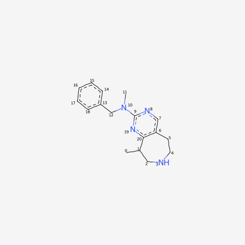 CC1CNCCc2cnc(N(C)Cc3ccccc3)nc21